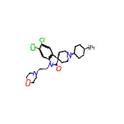 CC(C)[C@H]1CC[C@@H](N2CCC3(CC2)C(=O)N(CCN2CCOCC2)c2cc(Cl)c(Cl)cc23)CC1